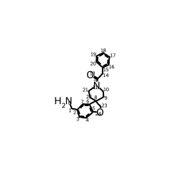 NCc1ccc2c(c1)C1(CCN(C(=O)Cc3ccccc3)CC1)CO2